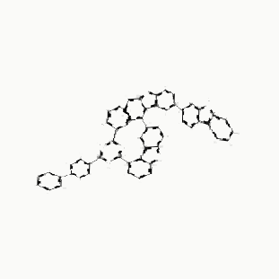 c1ccc(-c2ccc(-c3nc(-c4ccccc4)nc(-c4cccc5oc6ccc(-c7cccc8oc9ccc(-c%10ccc%11c(c%10)oc%10ccccc%10%11)cc9c78)cc6c45)n3)cc2)cc1